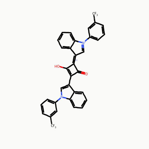 O=C1C(c2cn(-c3cccc(C(F)(F)F)c3)c3ccccc23)=C(O)/C1=C1/C=[N+](c2cccc(C(F)(F)F)c2)c2ccccc21